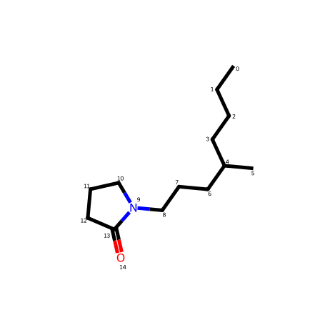 CCCCC(C)CCCN1CCCC1=O